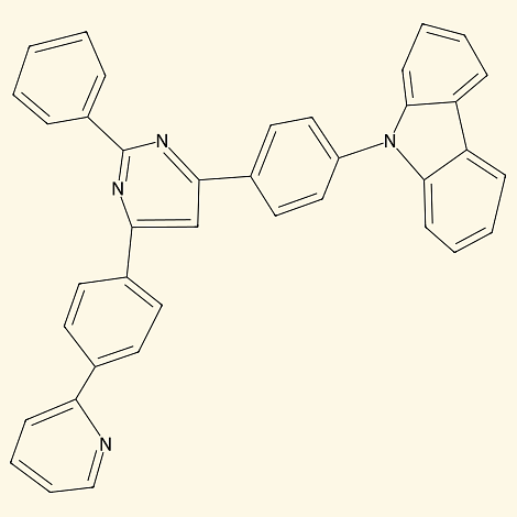 c1ccc(-c2nc(-c3ccc(-c4ccccn4)cc3)cc(-c3ccc(-n4c5ccccc5c5ccccc54)cc3)n2)cc1